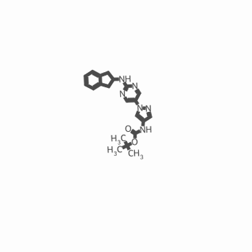 CC(C)(C)OC(=O)Nc1cnn(-c2cnc(NC3Cc4ccccc4C3)nc2)c1